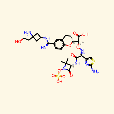 CC1(C)[C@H](NC(=O)/C(=N\O[C@](C)(C(=O)O)[C@H]2CCc3cc(C(=N)NC4CC(N)(CCO)C4)ccc3O2)c2csc(N)n2)C(=O)N1OS(=O)(=O)O